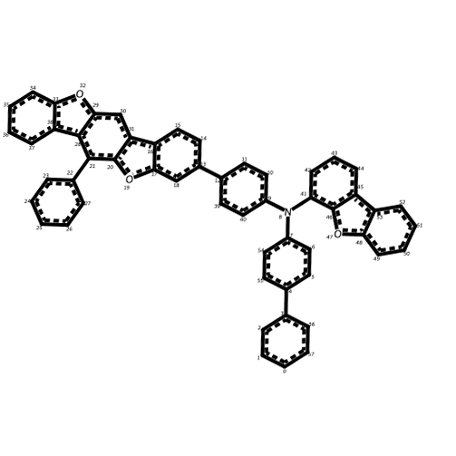 c1ccc(-c2ccc(N(c3ccc(-c4ccc5c(c4)oc4c(-c6ccccc6)c6c(cc45)oc4ccccc46)cc3)c3cccc4c3oc3ccccc34)cc2)cc1